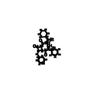 CC[C@@H](NC(=O)N1C(=O)[C@H](Cc2ccncc2)[C@H]1C(=O)N(C)c1ccccc1)C1CCCCC1